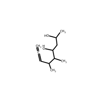 C=C=CC(C)C(C)C(O)CC(C)O